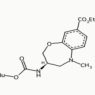 CCOC(=O)c1ccc2c(c1)OC[C@H](NC(=O)OC(C)(C)C)CN2C